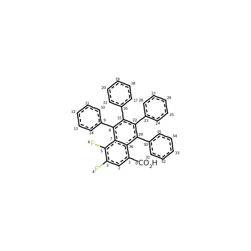 O=C(O)c1cc(F)c(F)c2c(-c3ccccc3)c(-c3ccccc3)c(-c3ccccc3)c(-c3ccccc3)c12